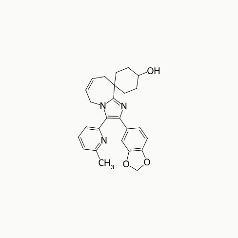 Cc1cccc(-c2c(-c3ccc4c(c3)OCO4)nc3n2CC=CCC32CCC(O)CC2)n1